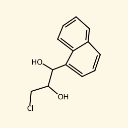 OC(CCl)C(O)c1cccc2ccccc12